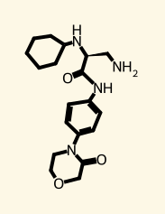 NC[C@H](NC1CCCCC1)C(=O)Nc1ccc(N2CCOCC2=O)cc1